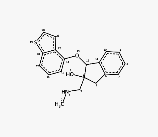 CNCC1(O)Cc2ccccc2C1Oc1cccc2sccc12